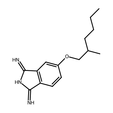 CCCCC(C)COc1ccc2c(c1)C(=N)NC2=N